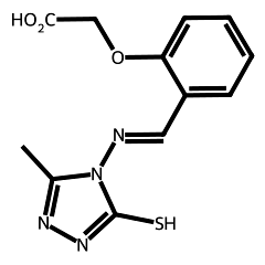 Cc1nnc(S)n1N=Cc1ccccc1OCC(=O)O